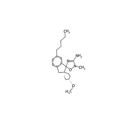 CCCCCc1ccc2c(c1)C1(N=C(N)N(C)O1)[C@]1(CC[C@@H](OC)CC1)C2